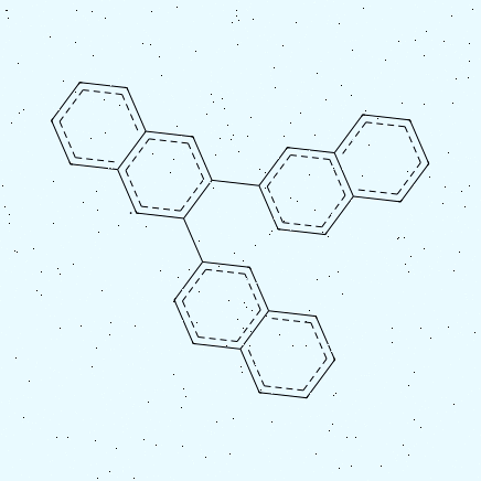 [c]1c(-c2ccc3ccccc3c2)c(-c2ccc3ccccc3c2)cc2ccccc12